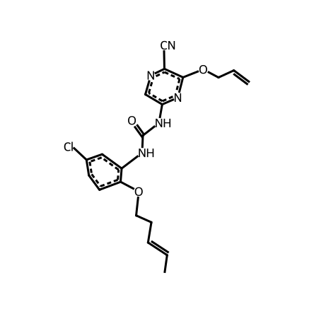 C=CCOc1nc(NC(=O)Nc2cc(Cl)ccc2OCCC=CC)cnc1C#N